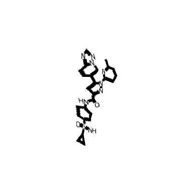 Cc1cccc(-n2nc(C(=O)Nc3ccc(S(=N)(=O)C4CC4)cc3)cc2-c2ccc3ncnn3c2)n1